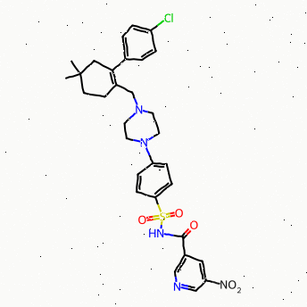 CC1(C)CCC(CN2CCN(c3ccc(S(=O)(=O)NC(=O)c4cncc([N+](=O)[O-])c4)cc3)CC2)=C(c2ccc(Cl)cc2)C1